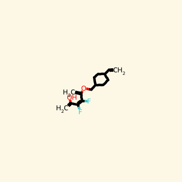 C=CC1CCC(COC(=C)/C(F)=C(/F)C(=C)O)CC1